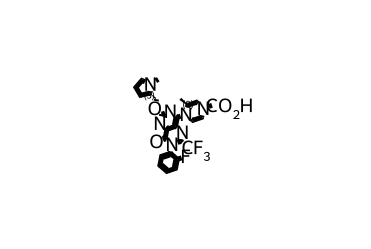 C[C@H]1CN(C(=O)O)CCN1c1nc(OC[C@@H]2CCCN2C)nc2c(=O)n(-c3ccccc3F)c(C(F)(F)F)nc12